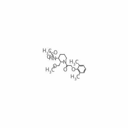 COC[C@H]1[C@@H](NS(C)(=O)=O)CCCN1C(=O)COc1c(C)cccc1C